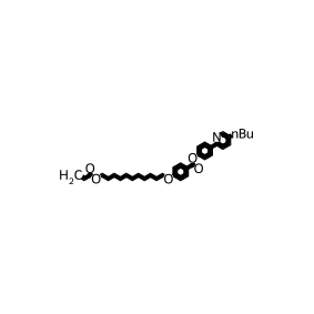 C=CC(=O)OCCCCCCCCCCCOc1ccc(C(=O)Oc2ccc(-c3ccc(CCCC)cn3)cc2)cc1